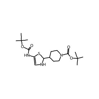 CC(C)(C)OC(=O)NC1=CNC(C2CCN(C(=O)OC(C)(C)C)CC2)S1